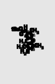 C=C1C=C(NC(=O)OC(C)(C)C)C(C)=C/C1=N/c1cc(C)c(N)cc1C